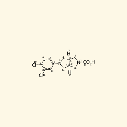 O=C(O)N1C[C@@H]2CN(c3ccc(Cl)c(Cl)c3)C[C@@H]2C1